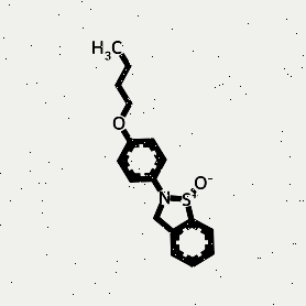 CCCCOc1ccc(N2Cc3ccccc3[S+]2[O-])cc1